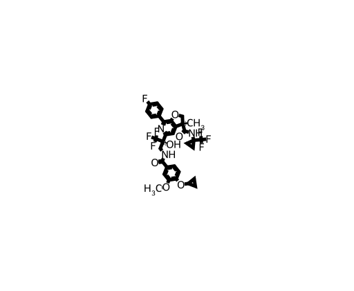 COc1cc(C(=O)NC[C@](O)(c2cc3c(c(-c4ccc(F)cc4)n2)OC[C@]3(C)C(=O)NC2(C(F)(F)F)CC2)C(F)(F)F)ccc1OC1CC1